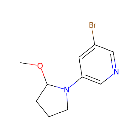 COC1CCCN1c1cncc(Br)c1